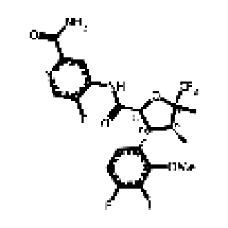 COc1c([C@@H]2[C@@H](C(=O)Nc3cc(C(N)=O)ncc3F)O[C@@](C)(C(F)(F)F)[C@H]2C)ccc(F)c1F